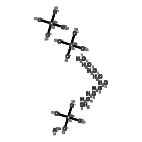 O.O.O.O.O.O.O.O.O.[Al+3].[O-][Cl+3]([O-])([O-])[O-].[O-][Cl+3]([O-])([O-])[O-].[O-][Cl+3]([O-])([O-])[O-]